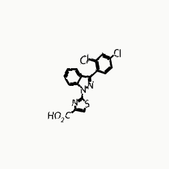 O=C(O)c1csc(-n2nc(-c3ccc(Cl)cc3Cl)c3ccccc32)n1